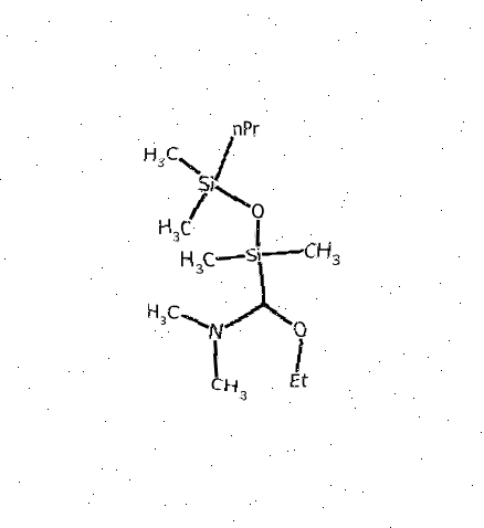 CCC[Si](C)(C)O[Si](C)(C)C(OCC)N(C)C